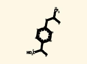 CC(C(=O)O)c1ccc(CC(C)C(F)(F)F)cc1